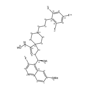 COc1ccc2ncc(F)c([C@H](O)CCC3(C(=O)NO)CCN(CCCc4c(F)cc(F)cc4F)CC3)c2c1